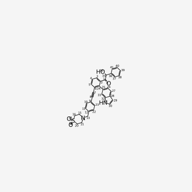 O=C(c1cccc(C#Cc2ccc(CN3CCS(=O)(=O)CC3)cc2)c1-c1ccc2cc[nH]c2c1)C(O)c1ccccc1